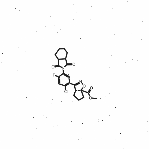 COC(=O)C12CCCC1C(c1cc(N3C(=O)C4CCCCC4C3=O)c(F)cc1Cl)=NO2